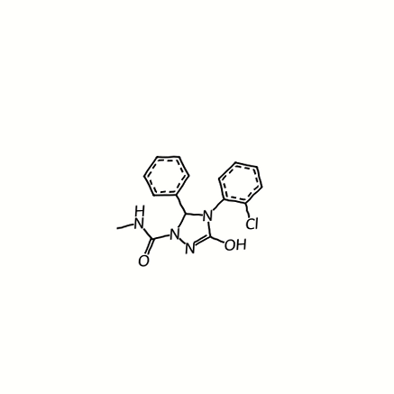 CNC(=O)N1N=C(O)N(c2ccccc2Cl)C1c1ccccc1